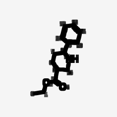 CCOC(=O)C1CCC(c2ccccc2)NC1